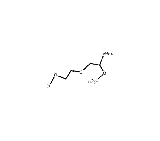 CCCCCCC(COCCOCC)OC(=O)O